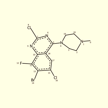 CN1CCN(c2nc(Cl)nc3c(F)c(Br)c(Cl)cc23)CC1